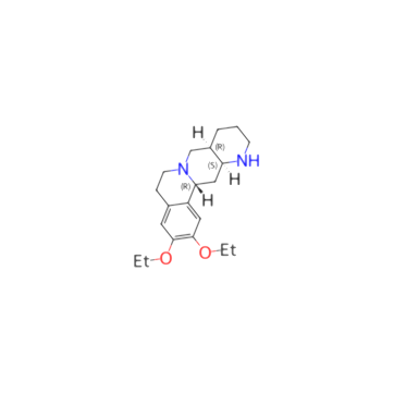 CCOc1cc2c(cc1OCC)[C@H]1C[C@@H]3NCCC[C@@H]3CN1CC2